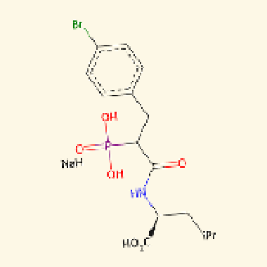 CC(C)C[C@H](NC(=O)C(Cc1ccc(Br)cc1)P(=O)(O)O)C(=O)O.[NaH]